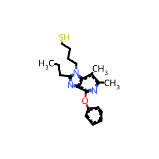 CCCc1nc2c(Oc3ccccc3)nc(C)c(C)c2n1CCCCS